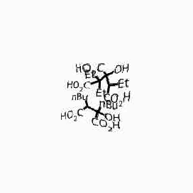 CCC(C(=O)O)C(O)(C(=O)O)C(CC)(CC)C(=O)O.CCCCC(C(=O)O)C(O)(CCCC)C(=O)O